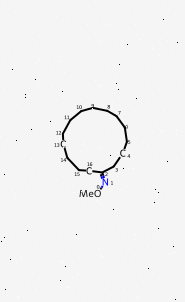 CON=C1CCCCCCCCCCCCCC1